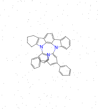 c1ccc(-c2cc(-c3ccccc3)nc(-n3c4ccccc4c4ccc5c6c(n(-c7ccccc7)c5c43)CCCC6)c2)cc1